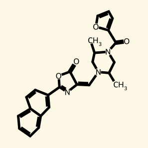 CC1CN(C(=O)c2ccco2)C(C)CN1/C=C1/N=C(c2ccc3ccccc3c2)OC1=O